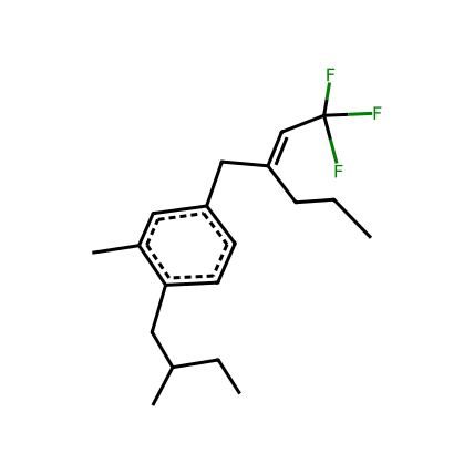 CCC/C(=C\C(F)(F)F)Cc1ccc(CC(C)CC)c(C)c1